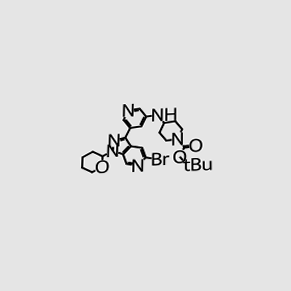 CC(C)(C)OC(=O)N1CCC(Nc2cncc(-c3nn(C4CCCCO4)c4cnc(Br)cc34)c2)CC1